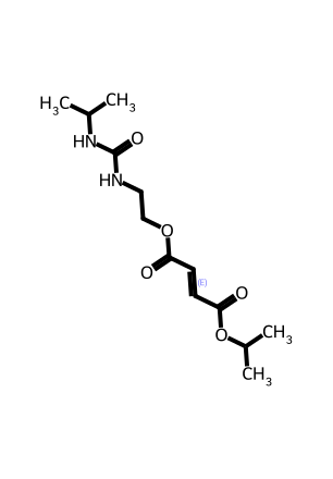 CC(C)NC(=O)NCCOC(=O)/C=C/C(=O)OC(C)C